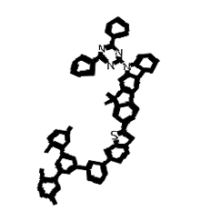 Cc1ccc(C)c(-c2cc(-c3cccc(-c4ccc5cc(-c6ccc7c(c6)C(C)(C)c6cc8c(cc6-7)c6ccccc6n8-c6nc(-c7ccccc7)nc(-c7ccccc7)n6)sc5c4)c3)cc(-c3cc(C)ccc3C)c2)c1